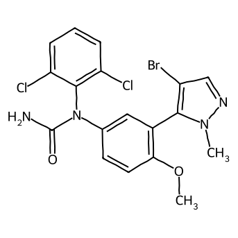 COc1ccc(N(C(N)=O)c2c(Cl)cccc2Cl)cc1-c1c(Br)cnn1C